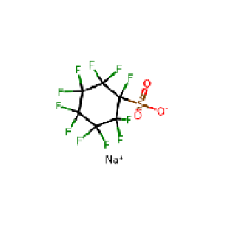 O=S(=O)([O-])C1(F)C(F)(F)C(F)(F)C(F)(F)C(F)(F)C1(F)F.[Na+]